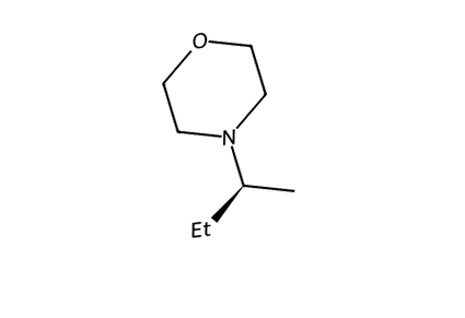 CC[C@H](C)N1CCOCC1